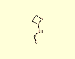 O=CNC1CCS1